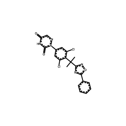 CC(C)(c1noc(-c2ccccc2)n1)c1c(Cl)cc(-n2ncc(=O)[nH]c2=O)cc1Cl